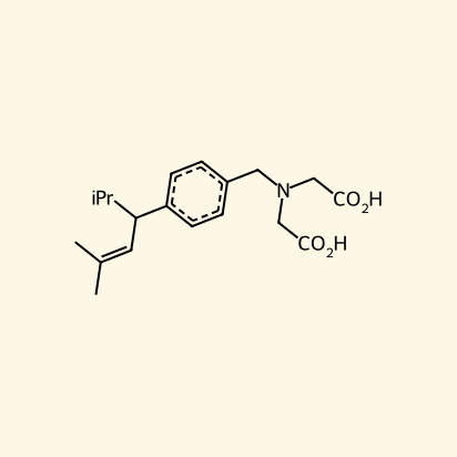 CC(C)=CC(c1ccc(CN(CC(=O)O)CC(=O)O)cc1)C(C)C